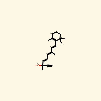 C#CC(C)(O)/C=C/C=C(C)/C=C/C1=C(C)CCCC1(C)C